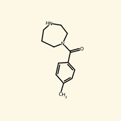 Cc1ccc(C(=O)N2CCCNCC2)cc1